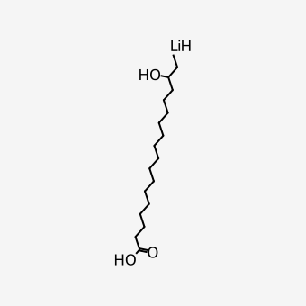 CCC(O)CCCCCCCCCCCCCCC(=O)O.[LiH]